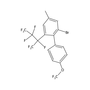 Cc1[c]c(Br)c(-c2ccc(OC(F)(F)F)cc2)c(C(F)(C(F)(F)F)C(F)(F)C(F)(F)F)c1